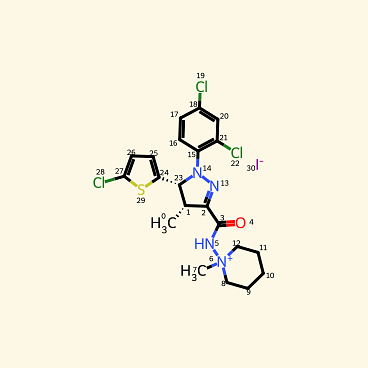 C[C@H]1C(C(=O)N[N+]2(C)CCCCC2)=NN(c2ccc(Cl)cc2Cl)[C@H]1c1ccc(Cl)s1.[I-]